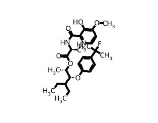 CCC(CC)[C@@H](Oc1ccc(C(C)(C)F)cc1)[C@H](C)OC(=O)[C@H](C)NC(=O)c1nccc(OC)c1O